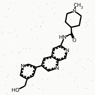 CN1CCC(C(=O)Nc2cc3cc(-c4cncc(CO)c4)cnc3cn2)CC1